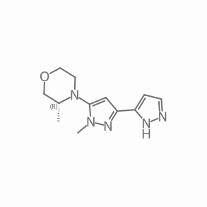 C[C@@H]1COCCN1c1cc(-c2ccn[nH]2)nn1C